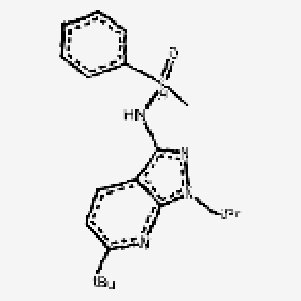 CC(C)n1nc(N[SH](C)(=O)c2ccccc2)c2ccc(C(C)(C)C)nc21